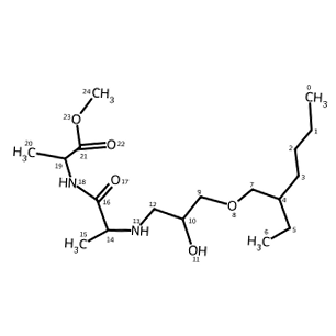 CCCCC(CC)COCC(O)CNC(C)C(=O)NC(C)C(=O)OC